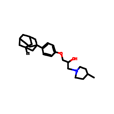 CCC12CC3CC(C1)CC(c1ccc(OCC(O)CN4CCC(C)CC4)cc1)(C3)C2